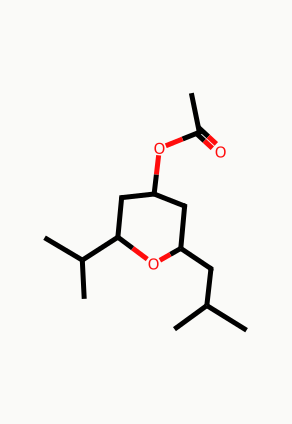 CC(=O)OC1CC(CC(C)C)OC(C(C)C)C1